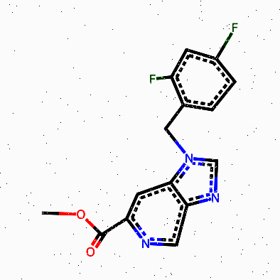 COC(=O)c1cc2c(cn1)ncn2Cc1ccc(F)cc1F